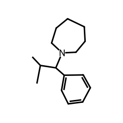 CC(C)C(c1ccccc1)N1CCCCCC1